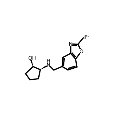 CC(C)c1nc2cc(CN[C@H]3CCC[C@H]3O)ccc2o1